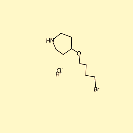 BrCCCCOC1CCNCC1.[Cl-].[H+]